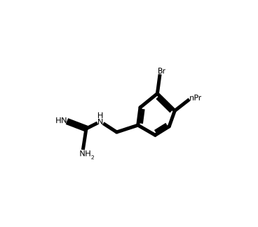 CCCc1ccc(CNC(=N)N)cc1Br